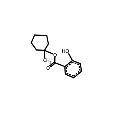 CC1(OC(=O)c2ccccc2O)CCCCC1